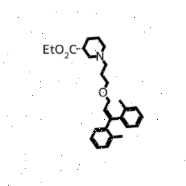 CCOC(=O)[C@@H]1CCCN(CCCOCC=C(c2ccccc2C)c2ccccc2C)C1